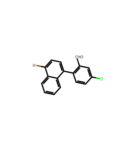 O=Cc1cc(Cl)ccc1-c1ccc(Br)c2ccccc12